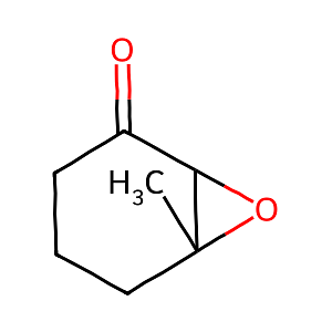 CC12CCCC(=O)C1O2